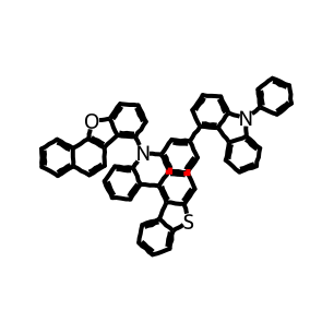 c1ccc(-n2c3ccccc3c3c(-c4cccc(N(c5ccccc5-c5cccc6sc7ccccc7c56)c5cccc6oc7c8ccccc8ccc7c56)c4)cccc32)cc1